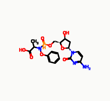 CC(C(=O)O)N(Oc1ccccc1)[PH](=O)OC[C@H]1O[C@@H](n2ccc(N)nc2=O)C[C@@H]1O